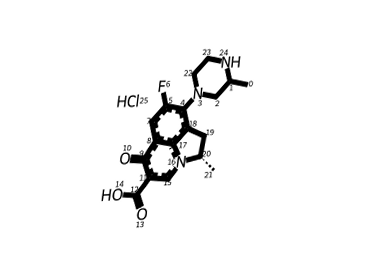 CC1CN(c2c(F)cc3c(=O)c(C(=O)O)cn4c3c2C[C@@H]4C)CCN1.Cl